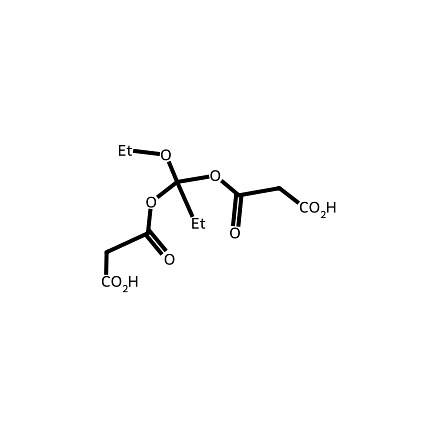 CCOC(CC)(OC(=O)CC(=O)O)OC(=O)CC(=O)O